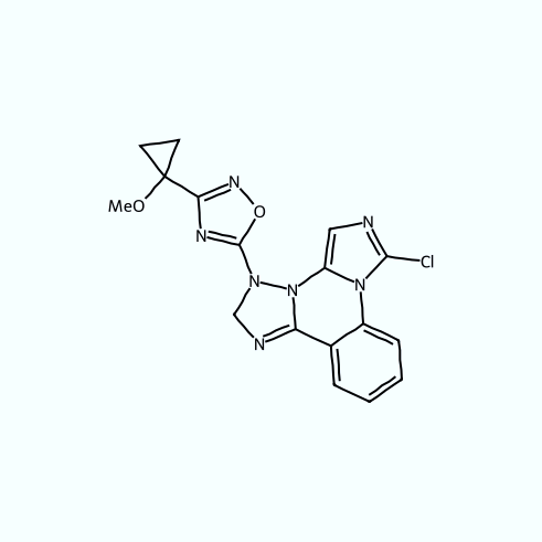 COC1(c2noc(N3CN=C4c5ccccc5-n5c(cnc5Cl)N43)n2)CC1